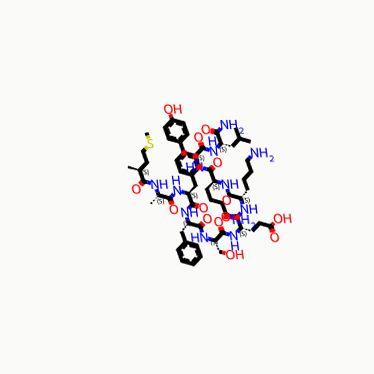 CSCC[C@H](C)C(=O)N[C@@H](C)C(=O)N[C@@H](Cc1ccccc1)C(=O)N[C@@H](Cc1ccccc1)C(=O)N[C@@H](CO)C(=O)N[C@@H](CCC(=O)O)C(=O)N[C@@H](CCCCN)C(=O)N[C@@H](CCCCN)C(=O)N[C@@H](Cc1ccc(O)cc1)C(=O)N[C@@H](CC(C)C)C(N)=O